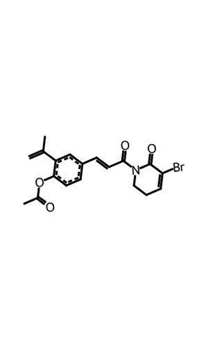 C=C(C)c1cc(/C=C/C(=O)N2CCC=C(Br)C2=O)ccc1OC(C)=O